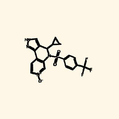 O=S(=O)(c1ccc(C(F)(F)F)cc1)N1c2c[n+]([O-])ccc2-c2n[nH]cc2C1C1CC1